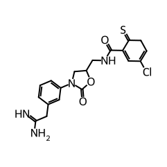 N=C(N)Cc1cccc(N2CC(CNC(=O)C3=CC(Cl)=CCC3=S)OC2=O)c1